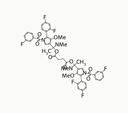 CNC(C)(OC(=O)CCC(=O)OC(C)(NC)c1cn(S(=O)(=O)c2cccc(F)c2)c(-c2ccc(F)cc2F)c1OC)c1cn(S(=O)(=O)c2cccc(F)c2)c(-c2ccc(F)cc2F)c1OC